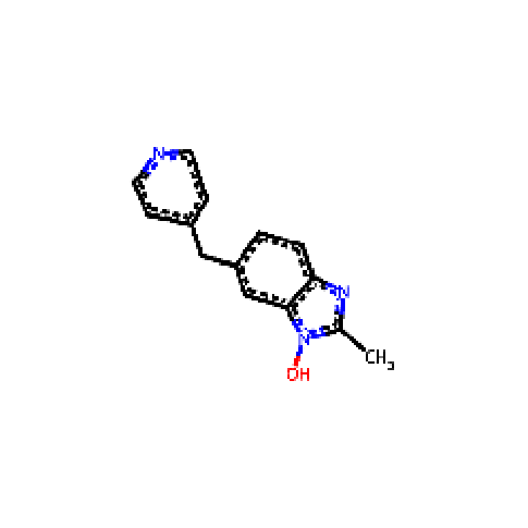 Cc1nc2ccc(Cc3ccncc3)cc2n1O